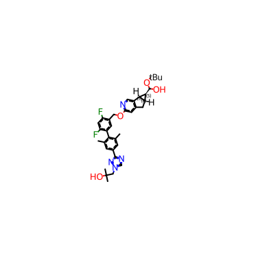 Cc1cc(-c2ncn(CC(C)(C)O)n2)cc(C)c1-c1cc(COc2cc3c(cn2)[C@H]2[C@@H](C3)[C@@H]2C(O)OC(C)(C)C)c(F)cc1F